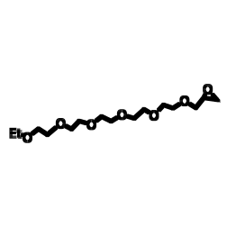 CCOCCOCCOCCOCCOCCOCC1CO1